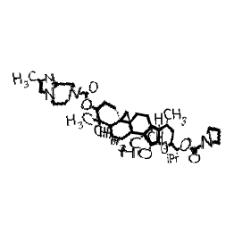 Cc1cn2c(n1)CN(C(=O)OC1CC[C@]34C[C@]35CC[C@]3(C)[C@@H]6C(OC([C@H](OC(=O)N7CCC7)C(C)C)C[C@H]6C)[C@H](O)[C@@]3(C)C5CC[C@H]4C1(C)C)CC2